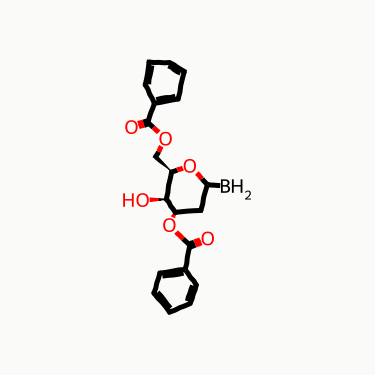 BC1C[C@@H](OC(=O)c2ccccc2)[C@@H](O)[C@@H](COC(=O)c2ccccc2)O1